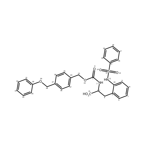 O=C(NC(Cc1ccccc1NS(=O)(=O)c1ccccc1)C(=O)O)OCc1ccc(COc2ccccc2)cc1